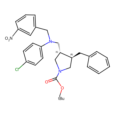 CC(C)(C)OC(=O)N1C[C@H](CN(Cc2cccc([N+](=O)[O-])c2)c2ccc(Cl)cc2)[C@@H](Cc2ccccc2)C1